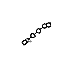 c1ccc2cc(-c3ccc(-c4ccc(-c5nc6ccccc6[nH]5)cc4)cc3)ccc2c1